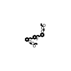 C=CC(=O)O/C=C\Oc1cccc(/C=C/c2ccc(/C=C/c3ccccc3O/C=C\OC(=O)C=C)cc2F)c1